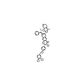 CC[C@@H](c1ccccc1)N1Cc2cc3c(cc2C[C@H]1C(=O)OC1C[C@H](C)CC[C@H]1C(C)C)N(C)C(=O)[C@H](c1ccc(OCc2ccc(Cl)c(Cl)c2)cc1)O3